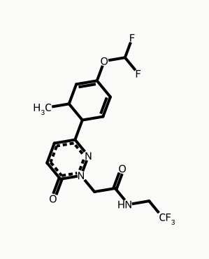 CC1C=C(OC(F)F)C=CC1c1ccc(=O)n(CC(=O)NCC(F)(F)F)n1